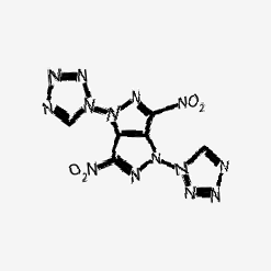 O=[N+]([O-])c1nn(-n2cnnn2)c2c([N+](=O)[O-])nn(-n3cnnn3)c12